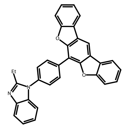 CCc1nc2ccccc2n1-c1ccc(-c2c3oc4ccccc4c3cc3c2oc2ccccc23)cc1